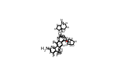 Cc1cc(N)nc(-c2c(Cl)cc3c(N4CC5CCC(C4)N5CCO)nc(OCC45CCCC4N(C)CCC5)nc3c2F)c1C(F)(F)F